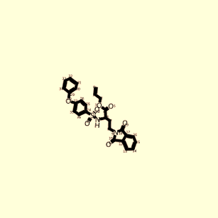 C=CCOC(=O)C(CCN1C(=O)c2ccccc2C1=O)NS(=O)(=O)c1ccc(Oc2ccccc2)cc1